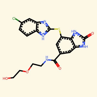 O=C(NCCOCCO)c1cc(Sc2nc3cc(Cl)ccc3[nH]2)c2[nH]c(=O)[nH]c2c1